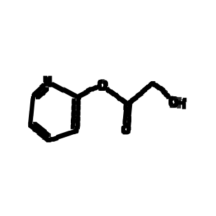 O=C(CO)Oc1ccccn1